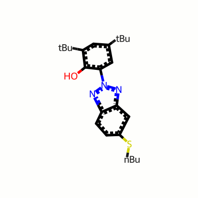 CCCCSc1ccc2nn(-c3cc(C(C)(C)C)cc(C(C)(C)C)c3O)nc2c1